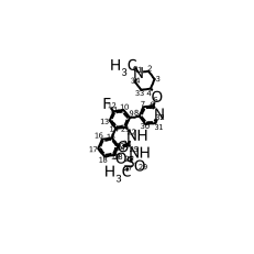 CN1CCC(Oc2cc(-c3cc(F)cc(-c4ccccc4)c3NC(=O)NS(C)(=O)=O)ccn2)CC1